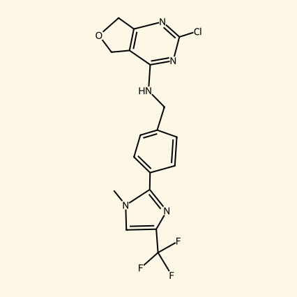 Cn1cc(C(F)(F)F)nc1-c1ccc(CNc2nc(Cl)nc3c2COC3)cc1